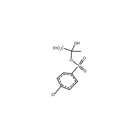 CCOC(=O)C(C)(O)OS(=O)(=O)c1ccc(Cl)cc1